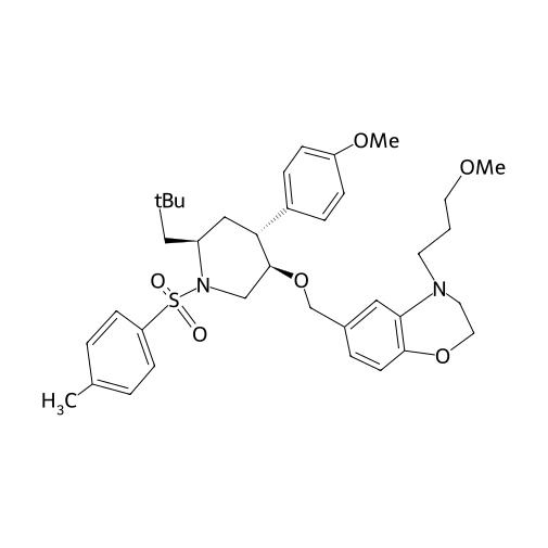 [CH2]C(C)(C)C[C@H]1C[C@H](c2ccc(OC)cc2)[C@@H](OCc2ccc3c(c2)N(CCCOC)CCO3)CN1S(=O)(=O)c1ccc(C)cc1